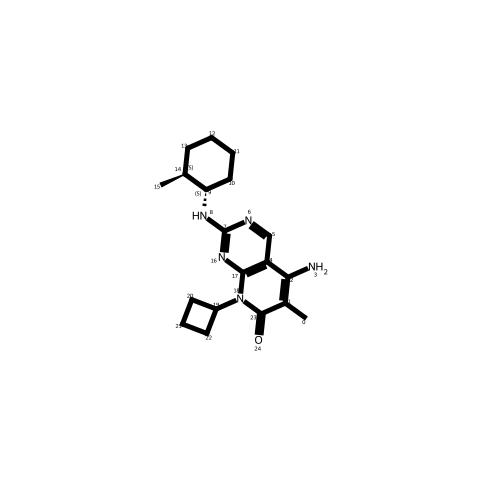 Cc1c(N)c2cnc(N[C@H]3CCCC[C@@H]3C)nc2n(C2CCC2)c1=O